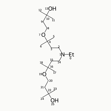 CCN(CCC(C)(C)OCCC(C)(C)O)CCC(C)(C)OCCC(C)(C)O